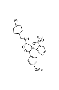 COc1ccc(C(=O)N(CC(=O)NCC2CCN(C(C)C)CC2)c2ccccc2S(=O)(=O)C(C)(C)C)cc1